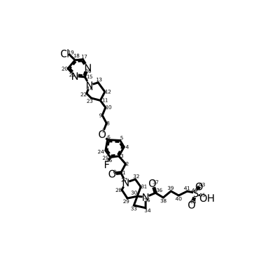 O=C(Cc1ccc(OCCCC2CCN(c3ncc(Cl)cn3)CC2)cc1F)N1CCC2(CC1)CCN2C(=O)CCCCS(=O)(=O)O